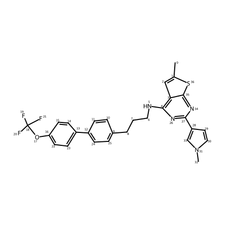 Cc1cc2c(NCCCc3ccc(-c4ccc(OC(F)(F)F)cc4)cc3)nc(-c3ccn(C)c3)nc2s1